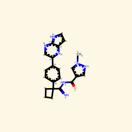 Cn1cc(C(=O)NC(=N)C2(c3ccc(-c4cnc5[nH]ccc5n4)cc3)CCC2)cn1